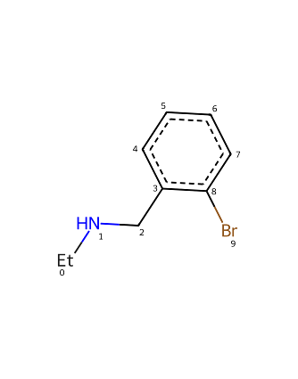 CCNCc1ccccc1Br